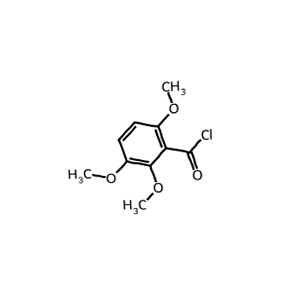 COc1ccc(OC)c(C(=O)Cl)c1OC